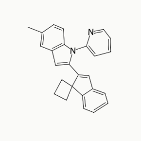 Cc1ccc2c(c1)cc(C1=Cc3ccccc3C13CCC3)n2-c1ccccn1